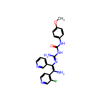 COc1ccc(NC(=O)N/C(N)=N/C(=C(\N)c2ccncc2F)c2cccnc2)cc1